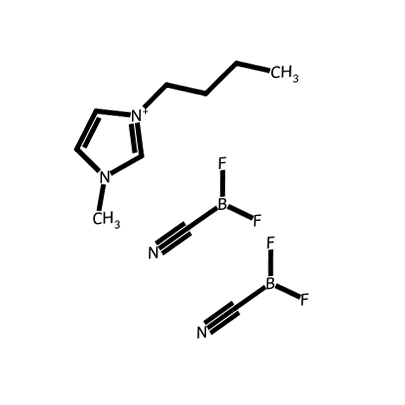 CCCC[n+]1ccn(C)c1.N#CB(F)F.N#CB(F)F